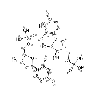 O=c1ccn([C@@H]2O[C@H](COP(=O)(O)O)[C@@H](O)[C@H]2O)c(=O)[nH]1.O=c1ccn([C@H]2C[C@H](O)[C@@H](COP(=O)(O)O)O2)c(=O)[nH]1